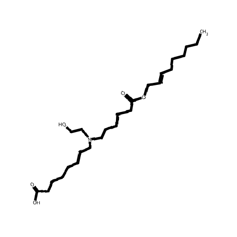 CCCCCCC=CCOC(=O)CCCCCN(CCO)CCCCCCCC(=O)O